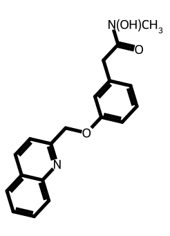 CN(O)C(=O)Cc1cccc(OCc2ccc3ccccc3n2)c1